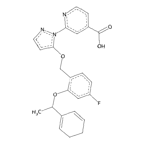 CC(Oc1cc(F)ccc1COc1ccnn1-c1cc(C(=O)O)ccn1)C1=CCCC=C1